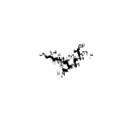 CC(O)[C@H](NC(=O)N[C@@H](CC(N)=O)C(=O)NNC(=O)[C@@H](N)CO)C(=O)O